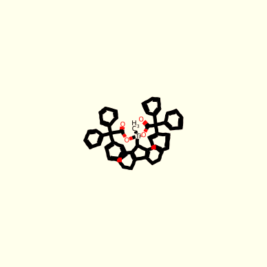 [CH3][Ti]([O]C(=O)C(c1ccccc1)(c1ccccc1)c1ccccc1)([O]C(=O)C(c1ccccc1)(c1ccccc1)c1ccccc1)[CH]1C2=C(CCCC2)C2=C1CCCC2